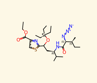 CCOC(=O)c1csc(C(C[C@@H](NC(=O)[C@@H](N=[N+]=[N-])[C@@H](C)CC)C(C)C)O[Si](CC)(CC)CC)n1